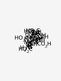 CN[C@@H](CC(=O)O)C(=O)NC(CO)C(=O)N[C@@H](CC(=O)O)C(=O)NC(CO)C(=O)N[C@@H](CC(=O)O)C(=O)NC(CO)C(=O)N[C@@H](CC(=O)O)C(N)=O